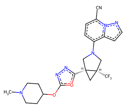 CN1CCC(Oc2nnc([C@]34CN(c5ccc(C#N)n6nccc56)C[C@@]3(C(F)(F)F)C4)o2)CC1